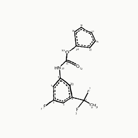 CC(F)(F)c1cc(F)cc(NC(=O)Oc2ccccc2)c1